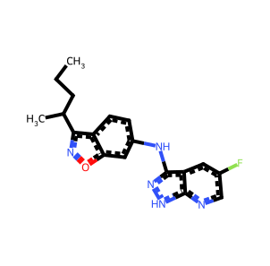 CCCC(C)c1noc2cc(Nc3n[nH]c4ncc(F)cc34)ccc12